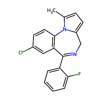 Cc1ccc2n1-c1ccc(Cl)cc1C(c1ccccc1F)=NC2